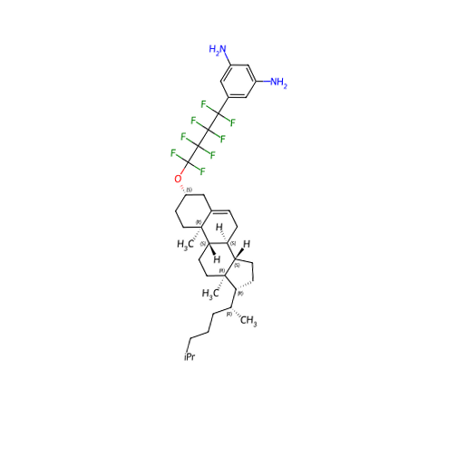 CC(C)CCC[C@@H](C)[C@H]1CC[C@H]2[C@@H]3CC=C4C[C@@H](OC(F)(F)C(F)(F)C(F)(F)C(F)(F)c5cc(N)cc(N)c5)CC[C@]4(C)[C@H]3CC[C@]12C